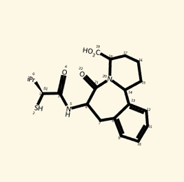 CC(C)[C@H](S)C(=O)NC1Cc2ccccc2C2CCCC(C(=O)O)N2C1=O